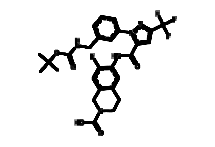 CC(C)(C)OC(=O)NCc1cccc(-n2nc(C(F)(F)F)cc2C(=O)Nc2cc3c(cc2F)CN(C(=O)O)CC3)c1